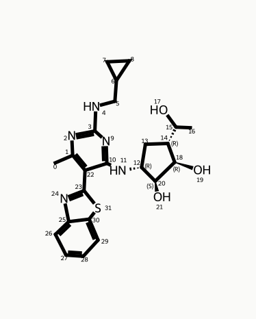 Cc1nc(NCC2CC2)nc(N[C@@H]2C[C@H](C(C)O)[C@@H](O)[C@H]2O)c1-c1nc2ccccc2s1